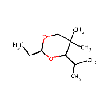 CCC1OCC(C)(C)C(C(C)C)O1